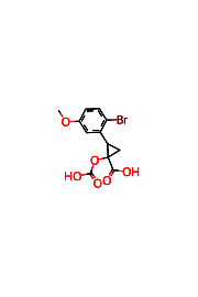 COc1ccc(Br)c(C2CC2(OC(=O)O)C(=O)O)c1